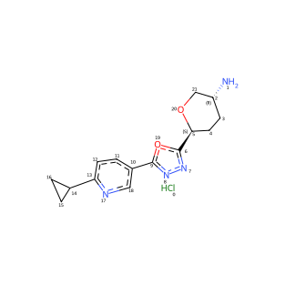 Cl.N[C@@H]1CC[C@@H](c2nnc(-c3ccc(C4CC4)nc3)o2)OC1